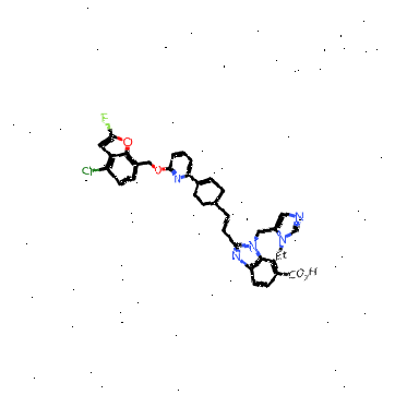 CCn1cncc1Cn1c(CCC2CC=C(c3cccc(OCc4ccc(Cl)c5cc(F)oc45)n3)CC2)nc2ccc(C(=O)O)cc21